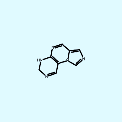 C1=NCNc2ncc3cncn3c21